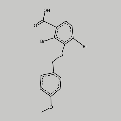 COc1ccc(COc2c(Br)ccc(C(=O)O)c2Br)cc1